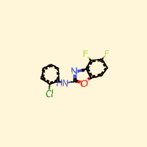 Fc1ccc2oc(Nc3ccccc3Cl)nc2c1F